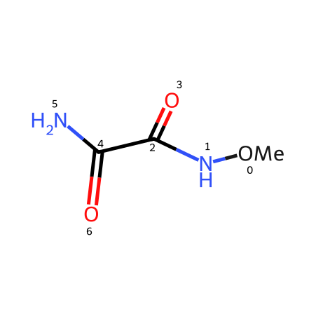 CONC(=O)C(N)=O